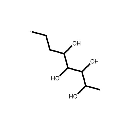 [CH2]CCC(O)C(O)C(O)C(C)O